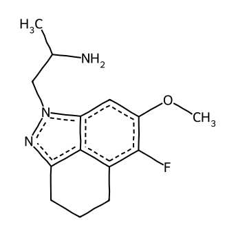 COc1cc2c3c(nn2CC(C)N)CCCc3c1F